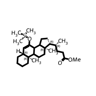 COC(=O)CC[C@@H](C)[C@H]1CCC2C3C(O[Si](C)(C)C)=C[C@H]4CCCC[C@]4(C)C3CC[C@@]21C